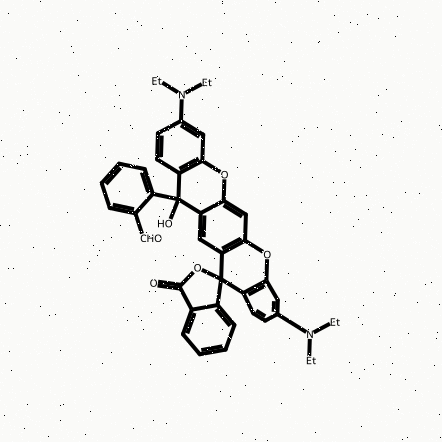 CCN(CC)c1ccc2c(c1)Oc1cc3c(cc1C2(O)c1ccccc1C=O)C1(OC(=O)c2ccccc21)c1ccc(N(CC)CC)cc1O3